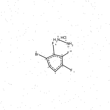 Cl.Fc1ccc(Br)c(F)c1F.NN